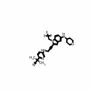 CC(C)(C#N)c1ccc(NCC#Cc2cc3cc(NC4CCOCC4)ccc3n2CC(F)(F)F)cn1